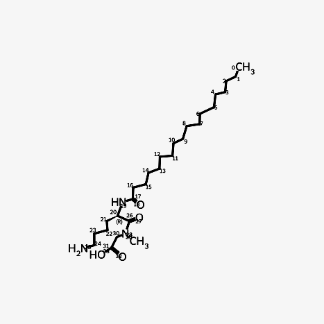 CCCCCCCCCCCCCCCCCC(=O)N[C@H](CCCCN)C(=O)N(C)CC(=O)O